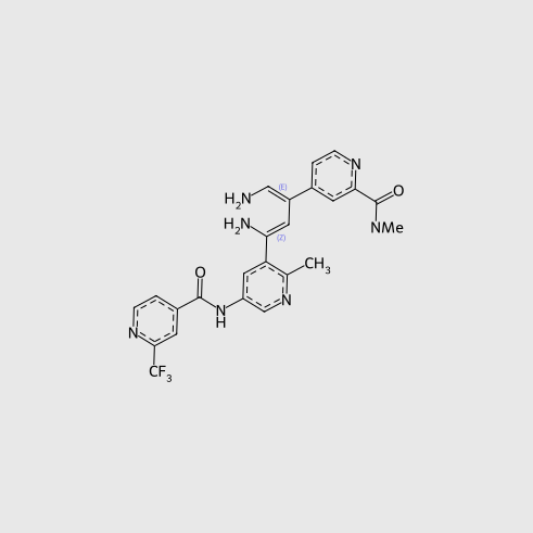 CNC(=O)c1cc(C(/C=C(\N)c2cc(NC(=O)c3ccnc(C(F)(F)F)c3)cnc2C)=C/N)ccn1